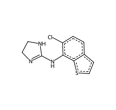 Clc1ccc2ccsc2c1NC1=NCCN1